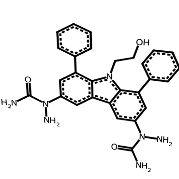 NC(=O)N(N)c1cc(-c2ccccc2)c2c(c1)c1cc(N(N)C(N)=O)cc(-c3ccccc3)c1n2CCO